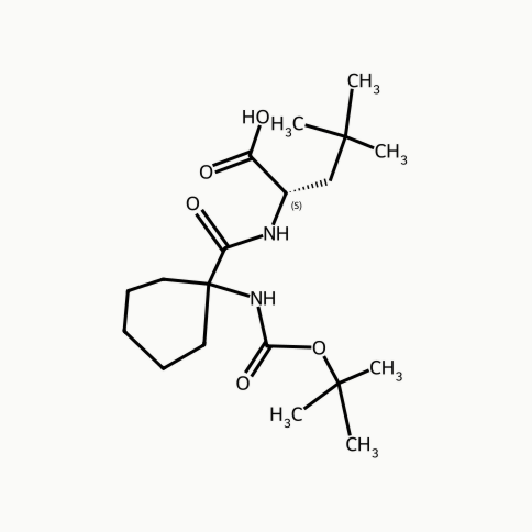 CC(C)(C)C[C@H](NC(=O)C1(NC(=O)OC(C)(C)C)CCCCC1)C(=O)O